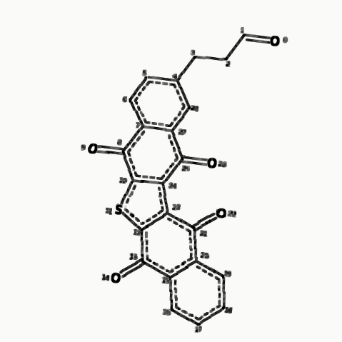 O=CCCc1ccc2c(=O)c3sc4c(=O)c5ccccc5c(=O)c4c3c(=O)c2c1